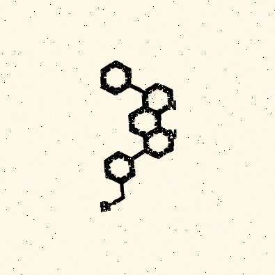 BrCc1cccc(-c2ccnc3c2ccc2c(-c4ccccc4)ccnc23)c1